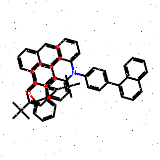 CC(C)(C)C1=CC2C(=C2C(C)(C)C)C(c2cccc3cccc(-c4ccccc4N(c4ccc(-c5cccc6ccccc56)cc4)c4ccccc4-c4ccc5oc6ccccc6c5c4)c23)=C1